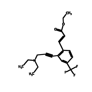 CCOC(=O)C=Cc1ccc(C(F)(F)F)cc1C#CCN(CC)CC